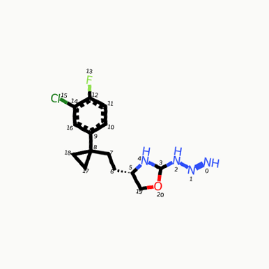 N=NNC1N[C@@H](CCC2(c3ccc(F)c(Cl)c3)CC2)CO1